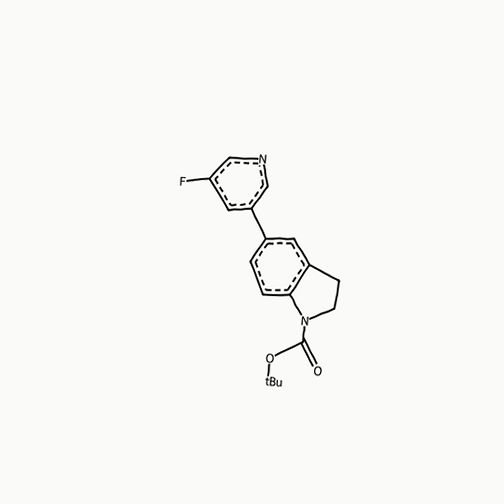 CC(C)(C)OC(=O)N1CCc2cc(-c3cncc(F)c3)ccc21